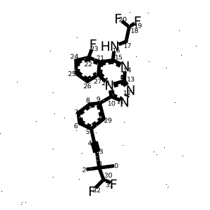 CC(C)(C#Cc1cccc(-c2nnc3nc(NCC(F)F)c4c(F)cccc4n23)c1)C(F)F